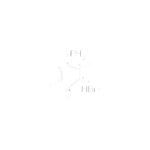 Br.Cc1cc(P)c(C)c(C)c1C